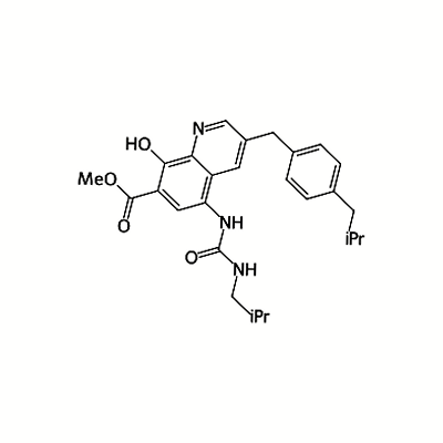 COC(=O)c1cc(NC(=O)NCC(C)C)c2cc(Cc3ccc(CC(C)C)cc3)cnc2c1O